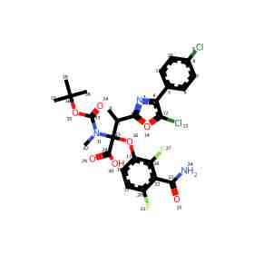 CC(c1nc(-c2ccc(Cl)cc2)c(Cl)o1)C(Oc1ccc(F)c(C(N)=O)c1F)(C(=O)O)N(C)C(=O)OC(C)(C)C